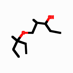 CCC(O)C(C)COC(C)(CC)CC